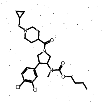 CCCCOC(=O)N(C)C1CN(C(=O)C2CCN(CC3CC3)CC2)CC1c1ccc(Cl)c(Cl)c1